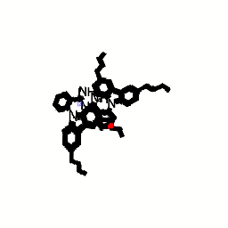 CCCCc1ccc2c(c1)c1cc(CCCC)ccc1n2-c1ccccc1C(=N)/N=C(\N)c1ccccc1-n1c2ccc(CCCC)cc2c2cc(CCCC)ccc21